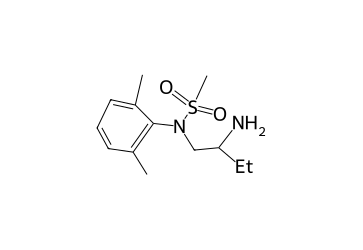 CCC(N)CN(c1c(C)cccc1C)S(C)(=O)=O